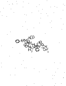 CC(C)C[C@H](NC[C@H](CCCC(NC(=O)[C@H](CCc1ccccc1)NC(=O)CN1CCOCC1)C(N)=O)C(=O)c1ccccc1)C(=O)[C@@]1(C)CO1